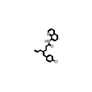 C=CC/C(=C/c1ccc(Cl)cc1)CCC(=O)Nc1cccc2cccnc12